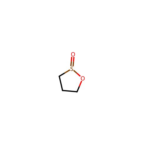 O=S1CCCO1